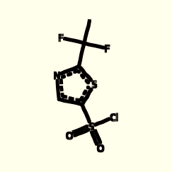 CC(F)(F)c1ncc(S(=O)(=O)Cl)s1